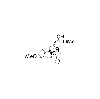 COc1ccc2c(c1)CC[N@+](C)(CC1CCC1)[C@@H]2Cc1ccc(OC)c(O)c1